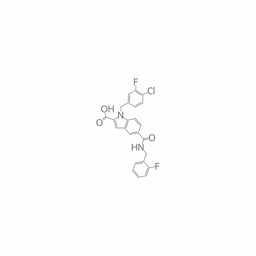 O=C(NCc1ccccc1F)c1ccc2c(c1)cc(C(=O)O)n2Cc1ccc(Cl)c(F)c1